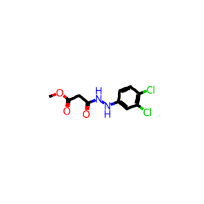 COC(=O)CC(=O)NNc1ccc(Cl)c(Cl)c1